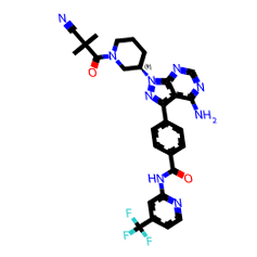 CC(C)(C#N)C(=O)N1CCC[C@@H](n2nc(-c3ccc(C(=O)Nc4cc(C(F)(F)F)ccn4)cc3)c3c(N)ncnc32)C1